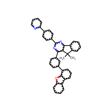 CC1(C)c2ccccc2-c2nc(-c3ccc(-c4ccccn4)cc3)nc(-c3cccc(-c4cccc5c4oc4ccccc45)c3)c21